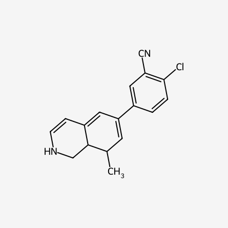 CC1C=C(c2ccc(Cl)c(C#N)c2)C=C2C=CNCC21